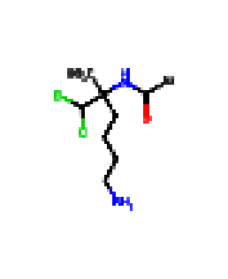 CCC(=O)NC(CCCCN)(C(=O)O)C(Cl)Cl